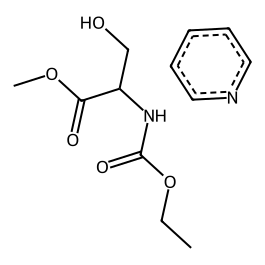 CCOC(=O)NC(CO)C(=O)OC.c1ccncc1